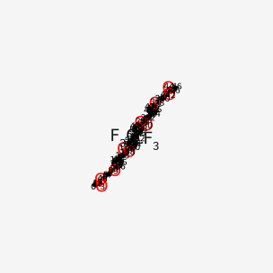 C=CC(=O)OCCCCOc1ccc(/C=C/C(=O)Oc2ccc(C(c3ccc(OC(=O)/C=C/c4ccc(OCCCCOC(=O)C=C)cc4)cc3)(C(F)(F)F)C(F)(F)F)cc2)cc1